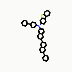 C1=Cc2c(sc3cc(N(c4ccc(-c5ccccc5)cc4)c4ccc5cc(-c6ccc7cc(-c8ccccc8)ccc7c6)ccc5c4)ccc23)CC1